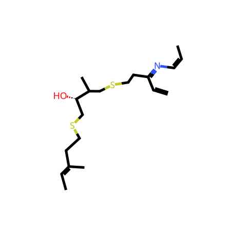 C=C/C(CCSCC(C)[C@@H](O)CSCC/C(C)=C/C)=N\C=C/C